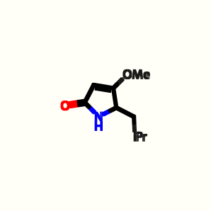 COC1=CC(=O)NC1CC(C)C